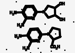 Nc1ccc(N2CC(O)C(O)C2)nc1N.Nc1ccc(N2CCCC2C(=O)O)nc1N